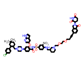 CC1(C)CCC(CN2CCN(c3ccc(C(=O)NS(=O)(=O)c4ccc(NCC5CCCN(CCOCCOCCC#Cc6ccc7c(c6)CN(C6CCC(=O)NC6=O)C7=O)C5)c([N+](=O)[O-])c4)c(Oc4cnc5[nH]ccc5c4)c3)CC2)=C(c2ccc(Cl)cc2)C1